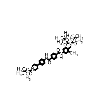 Cc1cc(NC(=O)c2ccc(C(=O)Nc3ccc(C4=CCN(C(=O)OC(C)(C)C)CC4)cc3)cc2)ccc1CN(C(=O)OC(C)(C)C)C(=O)OC(C)(C)C